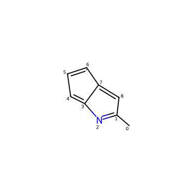 CC1=NC2=CC=[C]C2=C1